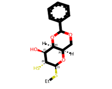 CCS[C@@H]1O[C@@H]2COC(c3ccccc3)O[C@@H]2[C@H](O)[C@H]1S